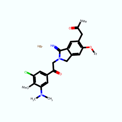 Br.CCOc1cc2c(cc1CC(=O)NC)C(=N)N(CC(=O)c1cc(Cl)c(OC)c(N(C)C)c1)C2